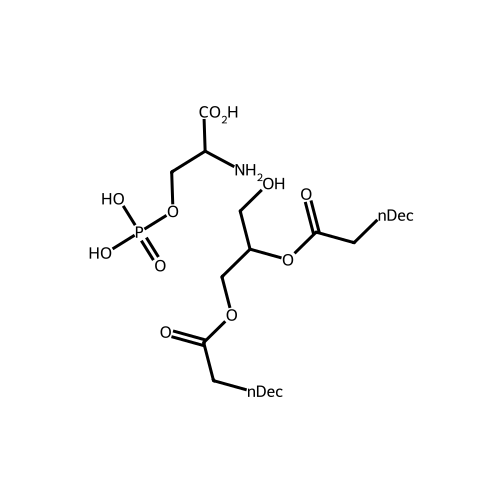 CCCCCCCCCCCC(=O)OCC(CO)OC(=O)CCCCCCCCCCC.NC(COP(=O)(O)O)C(=O)O